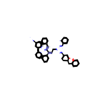 C=C(/C=C(\C(=C\c1ccccc1)n1c2ccccc2c2cc(C#N)ccc21)c1ccccc1)C1=NC(C2=CCC3Cc4ccccc4OC3=C2)NC(c2ccccc2)N1